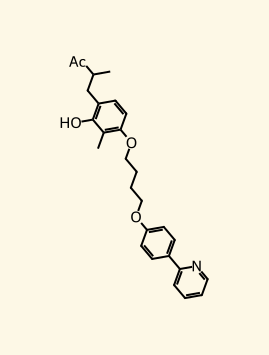 CC(=O)C(C)Cc1ccc(OCCCCOc2ccc(-c3ccccn3)cc2)c(C)c1O